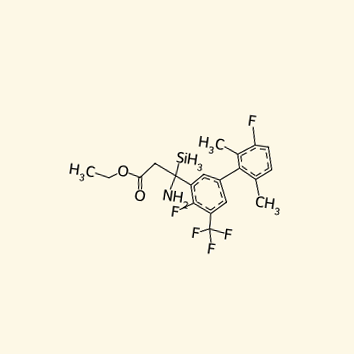 CCOC(=O)CC(N)([SiH3])c1cc(-c2c(C)ccc(F)c2C)cc(C(F)(F)F)c1F